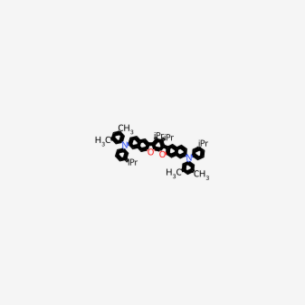 Cc1cc(C)cc(N(c2cccc(C(C)C)c2)c2ccc3cc4c(cc3c2)oc2c3oc5cc6cc(N(c7cc(C)cc(C)c7)c7cccc(C(C)C)c7)ccc6cc5c3c(C(C)C)c(C(C)C)c42)c1